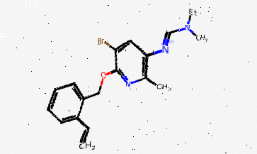 C=Cc1ccccc1COc1nc(C)c(/N=C/N(C)CC)cc1Br